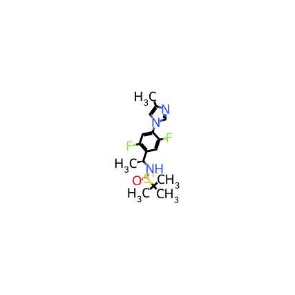 Cc1cn(-c2cc(F)c([C@H](C)N[S@+]([O-])C(C)(C)C)cc2F)cn1